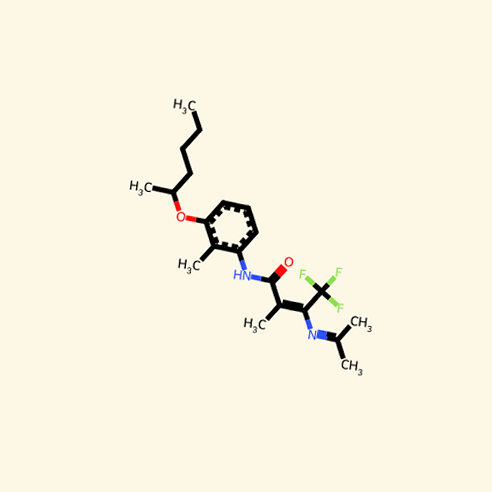 CCCCC(C)Oc1cccc(NC(=O)/C(C)=C(/N=C(C)C)C(F)(F)F)c1C